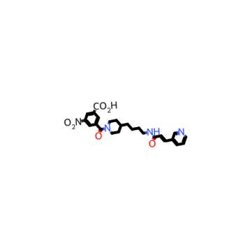 O=C(C=Cc1cccnc1)NCCCCC1CCN(C(=O)c2cc(C(=O)O)cc([N+](=O)[O-])c2)CC1